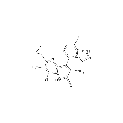 Cc1c(C2CC2)nc2c(-c3ccc(F)c4[nH]ncc34)c(N)c(=O)[nH]c2c1Cl